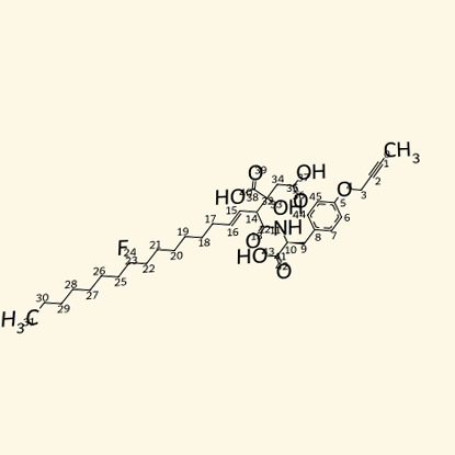 CC#CCOc1ccc(C[C@H](NC(=O)C(/C=C/CCCCCC[C@@H](F)CCCCCCC)[C@@](O)(CC(=O)O)C(=O)O)C(=O)O)cc1